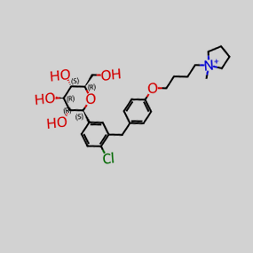 C[N+]1(CCCCOc2ccc(Cc3cc([C@@H]4O[C@H](CO)[C@@H](O)[C@H](O)[C@H]4O)ccc3Cl)cc2)CCCC1